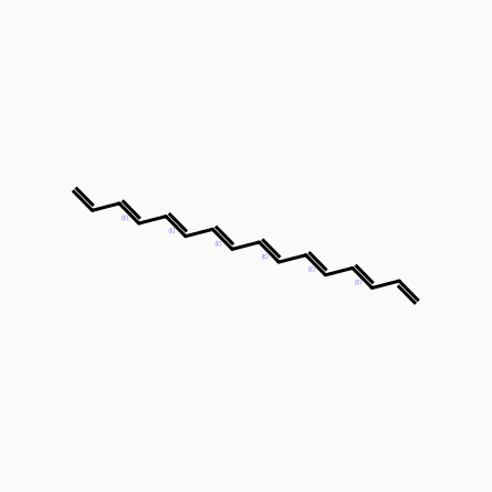 C=C/C=C/C=C/C=C/C=C/C=C/C=C/C=C